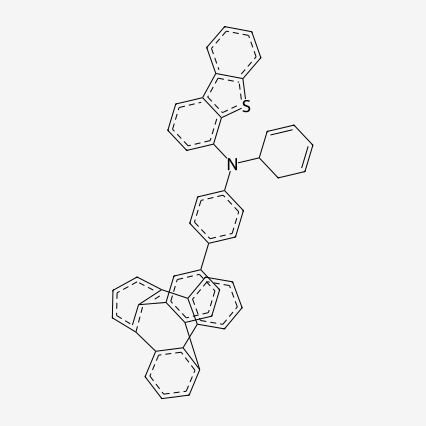 C1=CCC(N(c2ccc(-c3ccc4c(c3)-c3c5cccc3-c3cccc-4c3-c3ccccc3-5)cc2)c2cccc3c2sc2ccccc23)C=C1